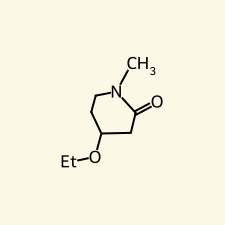 CCOC1CCN(C)C(=O)C1